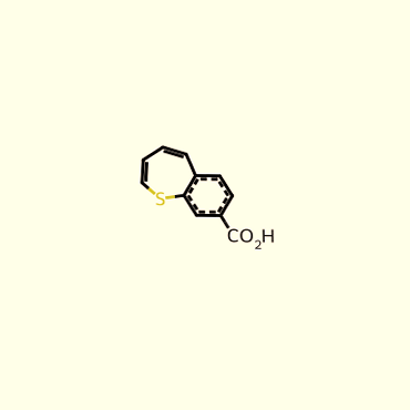 O=C(O)c1ccc2c(c1)SC=CC=C2